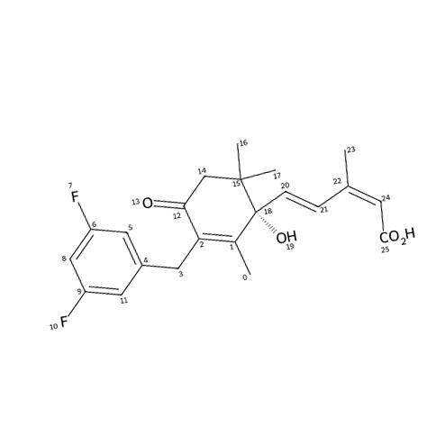 CC1=C(Cc2cc(F)cc(F)c2)C(=O)CC(C)(C)[C@@]1(O)/C=C/C(C)=C\C(=O)O